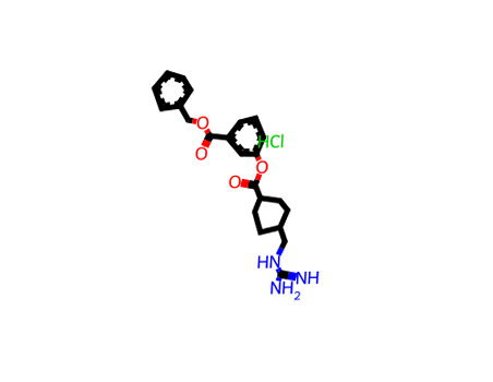 Cl.N=C(N)NCC1CCC(C(=O)Oc2cccc(C(=O)OCc3ccccc3)c2)CC1